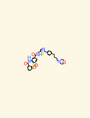 O=C(NCc1cnc(-c2ccc(CCCCN3CCOCC3)cc2)s1)c1ccc2c(c1)NC(=O)c1ccccc1S2(=O)=O